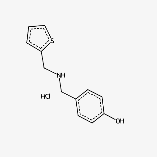 Cl.Oc1ccc(CNCc2cccs2)cc1